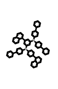 c1ccc(-c2ccc(N(c3ccc(-c4ccccc4)cc3)c3cc(-c4cccc5ccccc45)cc(N(c4ccc(-c5ccccc5)cc4)c4ccc(-c5cccc6ccccc56)cc4)c3)cc2)cc1